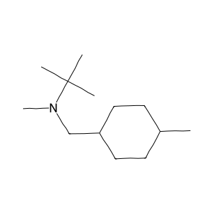 CC1CCC(CN(C)C(C)(C)C)CC1